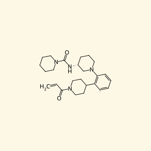 C=CC(=O)N1CCC(c2[c]cccc2N2CCC[C@@H](NC(=O)N3CCCCC3)C2)CC1